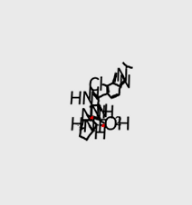 CC(C)n1cc2c(Cl)c(-c3n[nH]c4nc(N5[C@H]6CC[C@@H]5[C@@H](F)[C@@H](N)C6)c(CO)nc34)ccc2n1